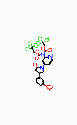 COc1cccc(C2CC(=O)N(c3ccnc(N(C(=O)OCC(Cl)(Cl)Cl)C(=O)OCC(Cl)(Cl)Cl)c3)C2)c1